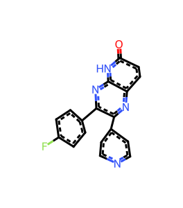 O=c1ccc2nc(-c3ccncc3)c(-c3ccc(F)cc3)nc2[nH]1